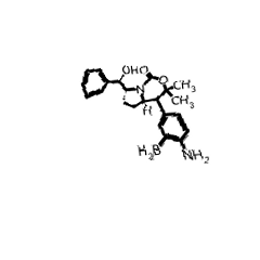 Bc1cc(C2[C@H]3CC[C@H]([C@H](O)c4ccccc4)N3C(=O)OC2(C)C)ccc1N